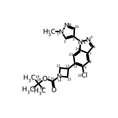 Cn1cc(-n2ncc3cc(Cl)c(C4CN(C(=O)OC(C)(C)C)C4)cc32)cn1